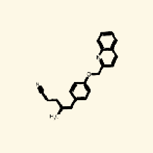 CC(CCC#N)Cc1ccc(OCc2ccc3ccccc3n2)cc1